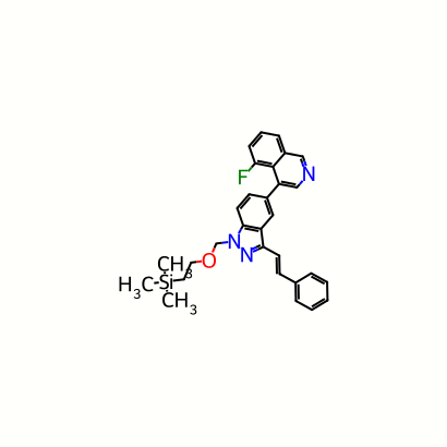 C[Si](C)(C)CCOCn1nc(/C=C/c2ccccc2)c2cc(-c3cncc4cccc(F)c34)ccc21